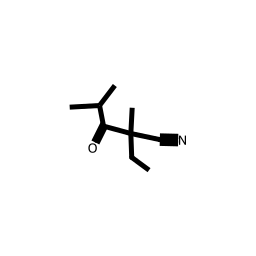 CCC(C)(C#N)C(=O)C(C)C